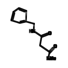 CNC(=O)CC(=O)NCc1ccccc1